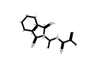 C=C(C)C(=O)OC(C)N1C(=O)C2=C(CCCC2)C1=O